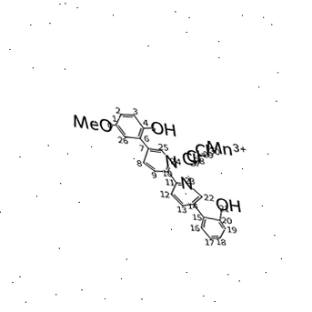 COc1ccc(O)c(-c2ccc(-c3ccc(-c4ccccc4O)cn3)nc2)c1.[Cl-].[Cl-].[Cl-].[Mn+3]